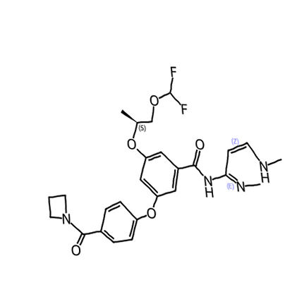 C/N=C(\C=C/NC)NC(=O)c1cc(Oc2ccc(C(=O)N3CCC3)cc2)cc(O[C@@H](C)COC(F)F)c1